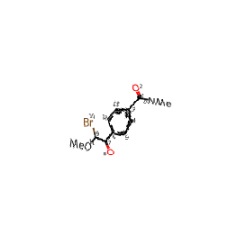 CNC(=O)c1ccc(C(=O)C(Br)OC)cc1